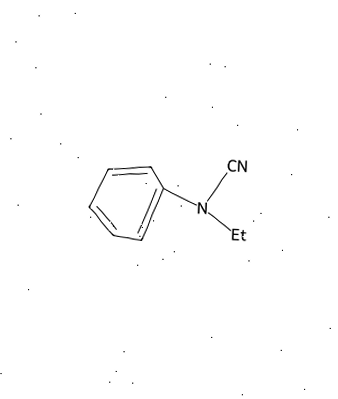 [CH2]CN(C#N)c1ccccc1